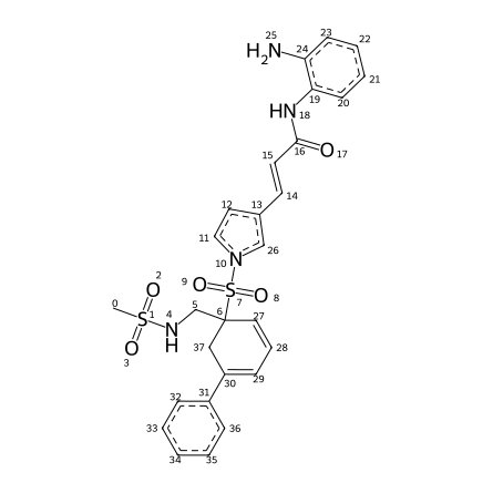 CS(=O)(=O)NCC1(S(=O)(=O)n2ccc(C=CC(=O)Nc3ccccc3N)c2)C=CC=C(c2ccccc2)C1